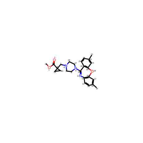 COC(=O)C1(CN2CCN(C3=Nc4ccc(C)cc4Oc4cc(C)ccc43)CC2)CC1